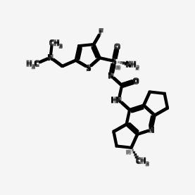 C[C@@H]1CCc2c1nc1c(c2NC(=O)N=[S@](N)(=O)c2sc(CN(C)C)cc2F)CCC1